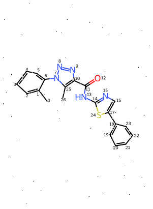 Cc1ccccc1-n1nnc(C(=O)Nc2ncc(-c3ccccc3)s2)c1C